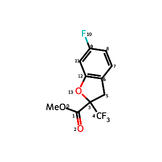 COC(=O)C1(C(F)(F)F)Cc2ccc(F)cc2O1